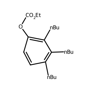 CCCCc1ccc(OC(=O)OCC)c(CCCC)c1CCCC